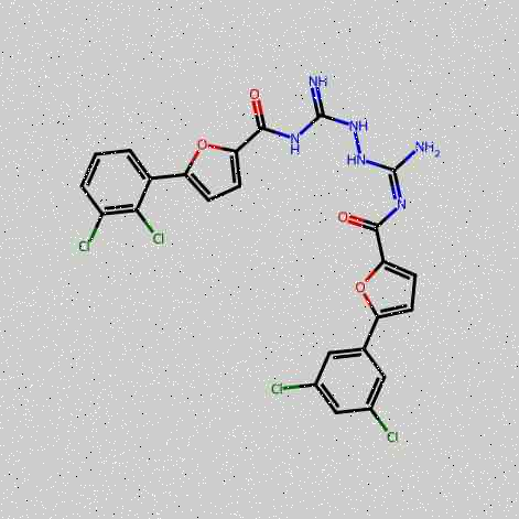 N=C(NNC(N)=NC(=O)c1ccc(-c2cc(Cl)cc(Cl)c2)o1)NC(=O)c1ccc(-c2cccc(Cl)c2Cl)o1